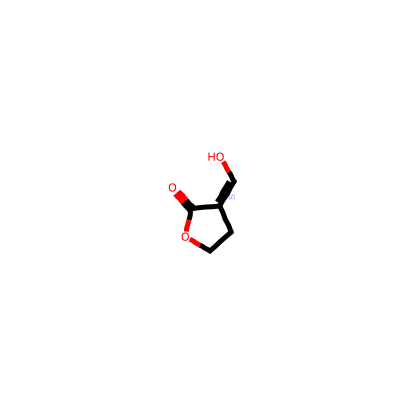 O=C1OCC/C1=C/O